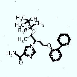 C[C@H](O[Si](C)(C)C(C)(C)C)[C@@H](CCOc1ccccc1-c1ccccc1)n1cnc(C(N)=O)c1